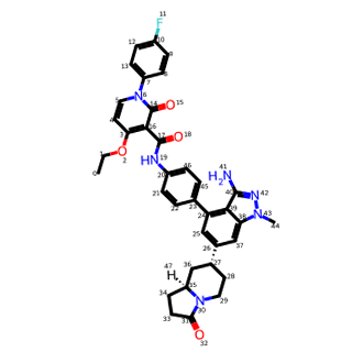 CCOc1ccn(-c2ccc(F)cc2)c(=O)c1C(=O)Nc1ccc(-c2cc([C@@H]3CCN4C(=O)CC[C@H]4C3)cc3c2c(N)nn3C)cc1